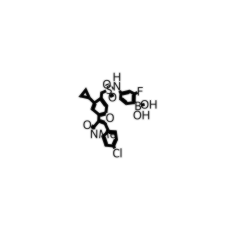 CNC(=O)c1c(-c2ccc(Cl)cc2)oc2cc(CS(=O)(=O)Nc3ccc(B(O)O)c(F)c3)c(C3CC3)cc12